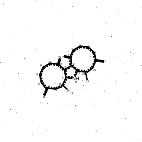 C=c1ccccc(=C)c2c([nH]c3c(F)cc(=C)ccccc(=C)c32)c(C)c1